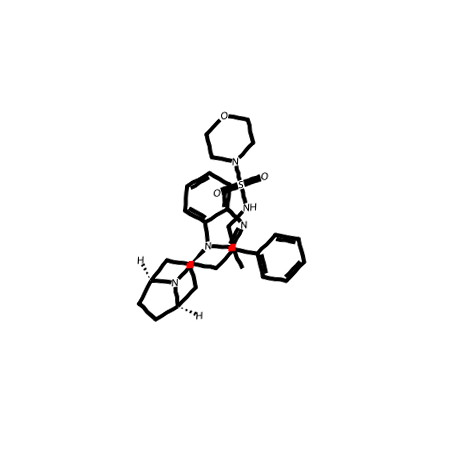 Cc1nc2ccccc2n1[C@H]1C[C@H]2CC[C@@H](C1)N2CCC(CNS(=O)(=O)N1CCOCC1)c1ccccc1